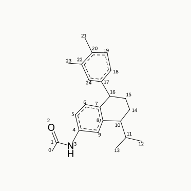 CC(=O)Nc1ccc2c(c1)C(C(C)C)CCC2c1ccc(C)c(C)c1